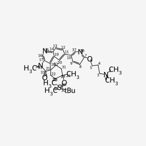 CN(C)CCCOc1ccc(-c2ccc3ncc4c(c3c2)C2(CCC(C)(O[Si](C)(C)C(C)(C)C)CC2)C(=O)N4C)cn1